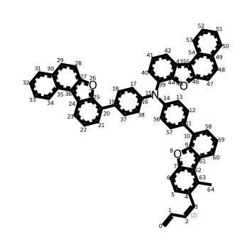 C=C/C=C\c1ccc2oc3c(-c4ccc(N(c5ccc(-c6cccc7c6oc6ccc8ccccc8c67)cc5)c5cccc6c5oc5ccc7ccccc7c56)cc4)cccc3c2c1C